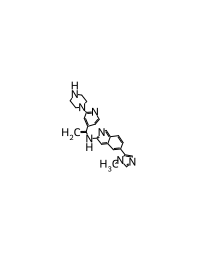 C=C(Nc1cc2cc(-c3cncn3C)ccc2cn1)c1ccnc(N2CCNCC2)c1